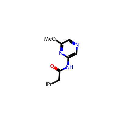 COc1cncc(NC(=O)CC(C)C)n1